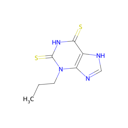 CCCn1c(=S)[nH]c(=S)c2[nH]cnc21